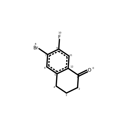 O=C1CCCc2cc(Br)c(F)cc21